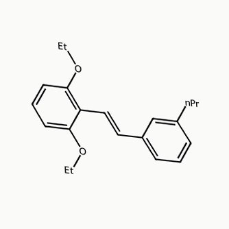 [CH2]CCc1cccc(C=Cc2c(OCC)cccc2OCC)c1